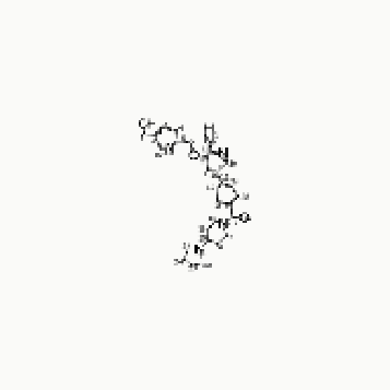 CCc1ccc(COc2cc(-c3ccc(C(=O)N4CCC(N5CCCC5)CC4)cc3)cnc2N)nc1